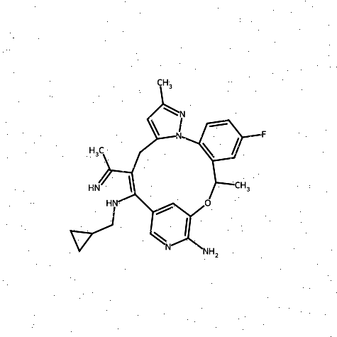 CC(=N)/C1=C(\NCC2CC2)c2cnc(N)c(c2)OC(C)c2cc(F)ccc2-n2nc(C)cc2C1